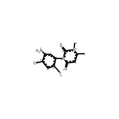 Cc1cc(=O)n(-c2cc([N+](=O)[O-])c(Cl)cc2F)c(=O)n1C